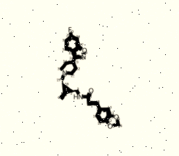 C=C1[C@H](CNC(=O)/C=C/c2ccc3c(c2)OCO3)[C@H]1CN1CCC(c2noc3cc(F)ccc23)CC1